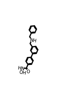 O=C(NO)c1ccc(-c2cccc(CNCc3ccccc3)c2)cc1